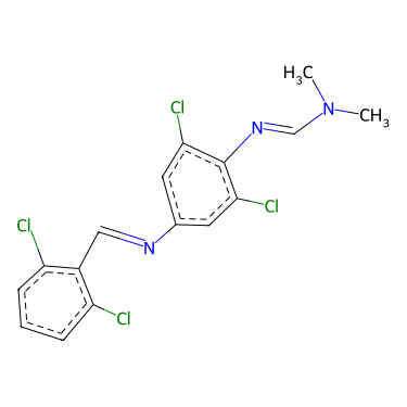 CN(C)C=Nc1c(Cl)cc(N=Cc2c(Cl)cccc2Cl)cc1Cl